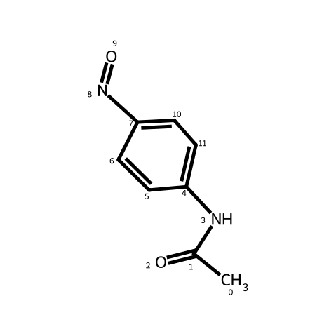 CC(=O)Nc1ccc(N=O)cc1